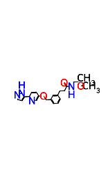 COC(C)CNC(=O)CCc1cccc(COc2ccc(-c3ccn[nH]3)nc2)c1